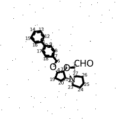 O=CCO[C@@H]1[C@@H](OCc2ccc(-c3ccccc3)cc2)CC[C@H]1N1CCCCC1